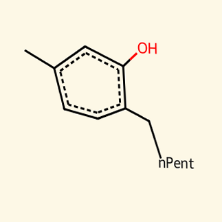 CCCCCCc1ccc(C)cc1O